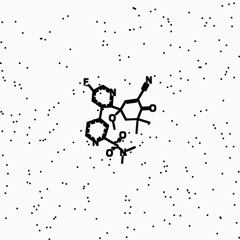 COC1(c2ncc(F)cc2-c2ccnc(S(=O)(=O)N(C)C)c2)C=C(C#N)C(=O)C(C)(C)C1